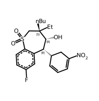 CCCC[C@]1(CC)CS(=O)(=O)c2ccc(F)cc2[C@@H](C2C=CC=C([N+](=O)[O-])C2)[C@H]1O